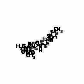 Cc1ccc2nc(-c3ccc(NC(=O)Cn4cnc5c4c(=O)n(C)c(=O)n5C)cc3)sc2c1